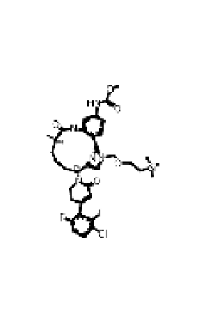 COC(=O)Nc1ccc2c(c1)NC(=O)[C@H](C)CCC[C@H](N1CCC(c3c(F)ccc(Cl)c3F)=CC1=O)c1cn(COCC[Si](C)(C)C)c-2n1